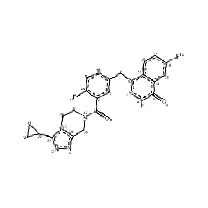 O=C(c1cc(Cc2n[nH]c(=O)c3cc(F)ccc23)ccc1F)N1CCn2c(nnc2C2CC2)C1